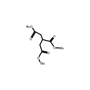 CCC(C)OC(=O)[C](CC(=O)OCC(C)C)CC(=O)OC(C)(C)C